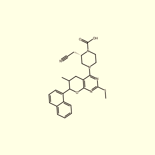 CSc1nc2c(c(N3CCN(C(=O)O)[C@@H](CC#N)C3)n1)CC(C)C(c1cccc3ccccc13)O2